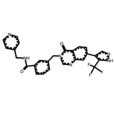 O=C(NCc1ccncc1)c1cccc(Cn2cnc3cc(-c4cn[nH]c4C(F)(F)F)ccc3c2=O)c1